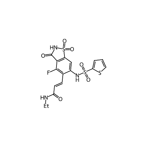 CCNC(=O)C=Cc1c(NS(=O)(=O)c2cccs2)cc2c(c1F)C(=O)NS2(=O)=O